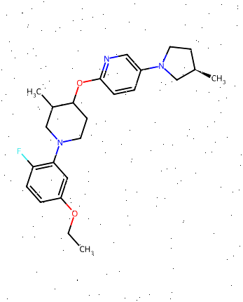 CCOc1ccc(F)c(N2CCC(Oc3ccc(N4CC[C@@H](C)C4)cn3)C(C)C2)c1